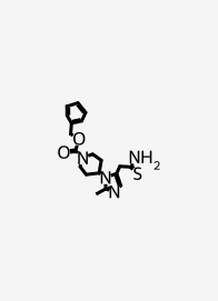 Cc1ncc(CC(N)=S)n1C1CCN(C(=O)OCc2ccccc2)CC1